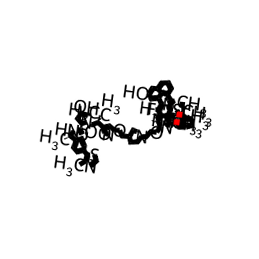 Cc1ncsc1-c1ccc([C@H](C)NC(=O)[C@@H]2C[C@@H](O)CN2C(=O)[C@@H](c2cc(OCC3CCN(CCOc4nc(N5CC6CCC(C5)N6)c5cnc(-c6cc(O)cc7cccc(C#C[Si](C(C)C)(C(C)C)C(C)C)c67)c(F)c5n4)CC3)no2)C(C)C)cc1